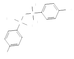 C[Si](C)(O[Si](C)(C)c1ccc(O)cc1)c1ccc(O)cc1